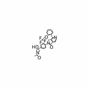 CC(=O)N1CC(O)(c2ccc(N3Cc4c(ccnc4-c4ccccc4OCC(F)(F)F)C3=O)cc2)C1